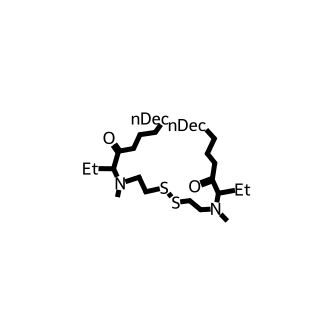 CCCCCCCCCCCCCC(=O)C(CC)N(C)CCSSCCN(C)C(CC)C(=O)CCCCCCCCCCCCC